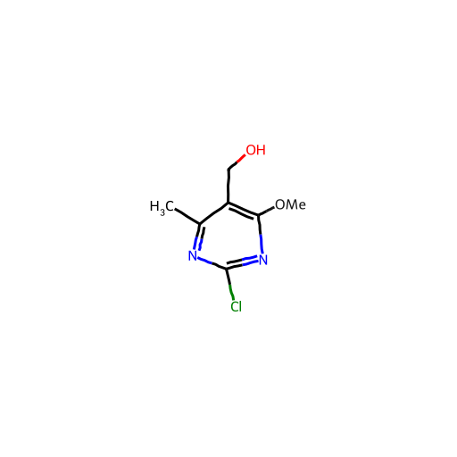 COc1nc(Cl)nc(C)c1CO